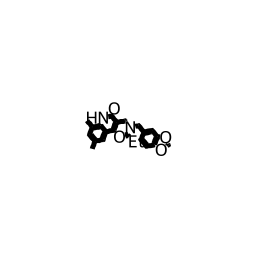 CCC(=O)N(Cc1ccc2c(c1)OCO2)Cc1cc2cc(C)cc(C)c2[nH]c1=O